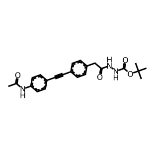 CC(=O)Nc1ccc(C#Cc2ccc(CC(=O)NNC(=O)OC(C)(C)C)cc2)cc1